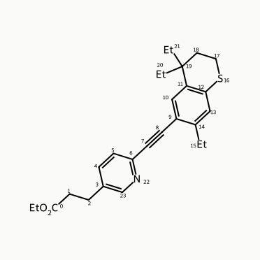 CCOC(=O)CCc1ccc(C#Cc2cc3c(cc2CC)SCCC3(CC)CC)nc1